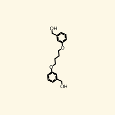 OCc1cccc(OCCCCOc2cccc(CO)c2)c1